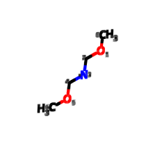 COC[N]COC